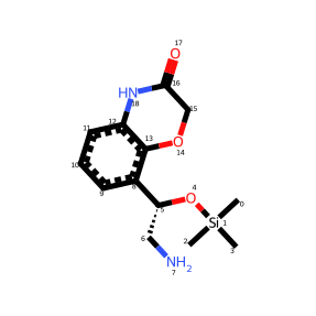 C[Si](C)(C)O[C@H](CN)c1cccc2c1OCC(=O)N2